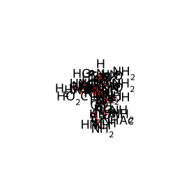 CC(=O)N[C@@H](CCCNC(=N)N)C(=O)N[C@@H](CCCNC(=N)N)C(=O)N[C@@H](Cc1ccc2ccccc2c1)C(=O)N[C@@H](CS)C(=O)N[C@@H](Cc1ccc(O)cc1)C(=O)N[C@@H](CCCNC(N)=O)C(=O)N[C@@H](CCCCN)C(=O)N[C@H](CCCNC(N)=O)C(=O)N1CCC[C@H]1C(=O)N[C@@H](Cc1ccc(O)cc1)C(=O)N[C@@H](CCCNC(=N)N)C(=O)N[C@@H](CCCNC(N)=O)C(=O)N[C@@H](CS)C(=O)N[C@@H](CCCNC(=N)N)C(=O)O